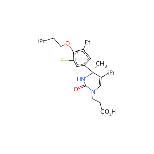 CCc1cc([C@]2(C)NC(=O)N(CCC(=O)O)C=C2C(C)C)cc(F)c1OCCC(C)C